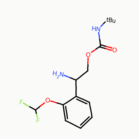 CC(C)(C)NC(=O)OCC(N)c1ccccc1OC(F)F